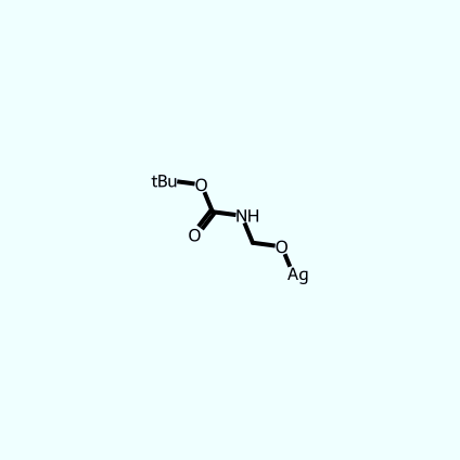 CC(C)(C)OC(=O)NC[O][Ag]